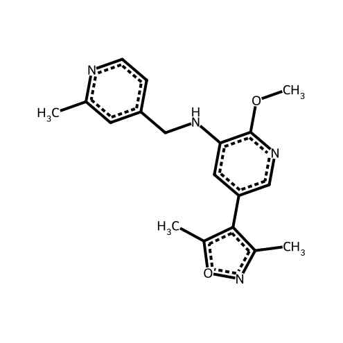 COc1ncc(-c2c(C)noc2C)cc1NCc1ccnc(C)c1